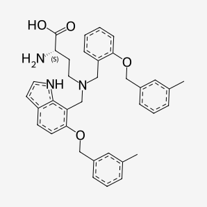 Cc1cccc(COc2ccccc2CN(CC[C@H](N)C(=O)O)Cc2c(OCc3cccc(C)c3)ccc3cc[nH]c23)c1